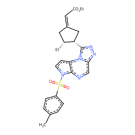 CCOC(=O)C=C1C[C@@H](CC)[C@@H](c2nnc3cnc4c(ccn4S(=O)(=O)c4ccc(C)cc4)n23)C1